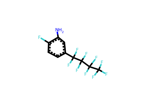 Nc1cc(C(F)(F)C(F)(F)C(F)(F)C(F)(F)F)ccc1F